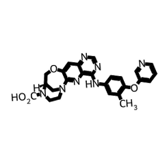 Cc1cc(Nc2ncnc3cc4c(nc23)N2CCN(C(=O)O)[C@H](CO4)C2)ccc1Oc1cccnc1